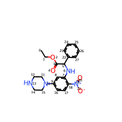 CCOC(=O)C(Nc1cc(N2CCNCC2)ccc1[N+](=O)[O-])c1ccccc1